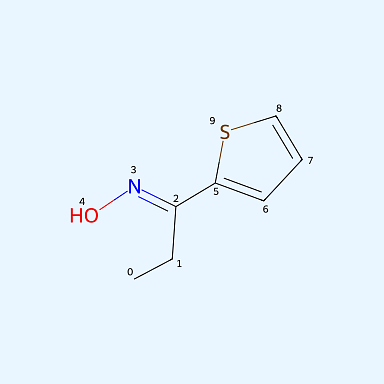 CC/C(=N\O)c1cccs1